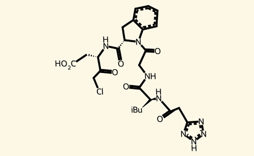 CC[C@H](C)[C@H](NC(=O)Cc1nn[nH]n1)C(=O)NCC(=O)N1c2ccccc2C[C@H]1C(=O)N[C@@H](CC(=O)O)C(=O)CCl